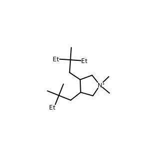 CCC(C)(C)CC1C[N+](C)(C)CC1CC(C)(CC)CC